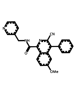 COc1ccc2c(C(=O)NCc3cccnc3)nc(C#N)c(-c3ccccc3)c2c1